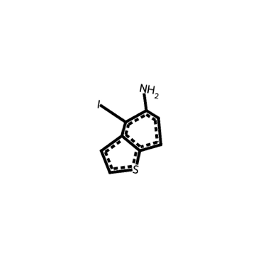 Nc1ccc2sccc2c1I